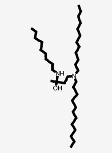 CCCCCCCCCCCCN(CCCCCCCCCCCC)CCC(C)(O)NCCCCCCCCC